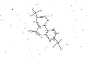 CC(C)(C)C1=CCC(c2ccc(C(C)(C)C)cc2)C([N+](=O)[O-])=C1